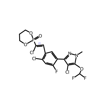 Cn1nc(-c2cc(/C=C(\Cl)P3(=O)OCCCO3)c(Cl)cc2F)c(Cl)c1OC(F)F